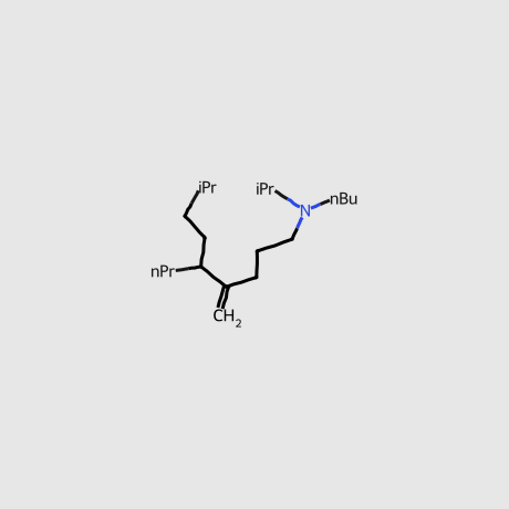 C=C(CCCN(CCCC)C(C)C)C(CCC)CCC(C)C